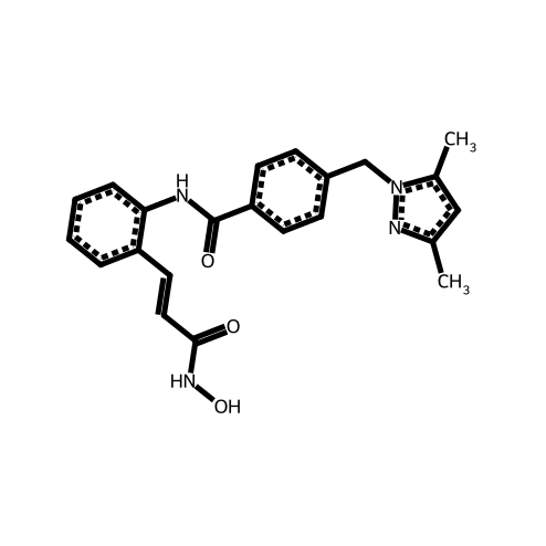 Cc1cc(C)n(Cc2ccc(C(=O)Nc3ccccc3C=CC(=O)NO)cc2)n1